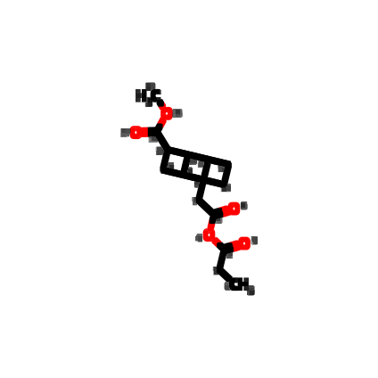 CCC(=O)OC(=O)CC12C3C4C1C1C2C3C41C(=O)OC